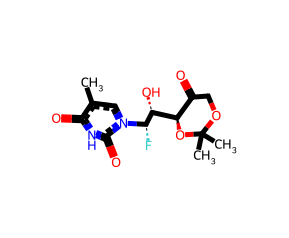 Cc1cn([C@@H](F)[C@H](O)[C@@H]2OC(C)(C)OCC2=O)c(=O)[nH]c1=O